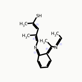 C\C=N/C(C)=C1\C=CC=C\C1=N\C=C(C)\C=C(/C)S